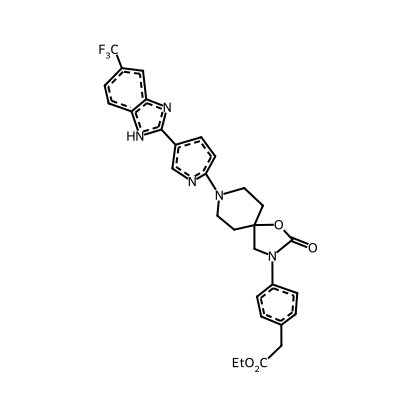 CCOC(=O)Cc1ccc(N2CC3(CCN(c4ccc(-c5nc6cc(C(F)(F)F)ccc6[nH]5)cn4)CC3)OC2=O)cc1